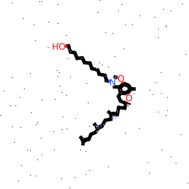 CC(C)=CCC/C(C)=C/CC/C(C)=C/CC[C@]1(C)CCc2c3c(cc(C)c2O1)OCN(CCCCCCCCCCCCO)C3